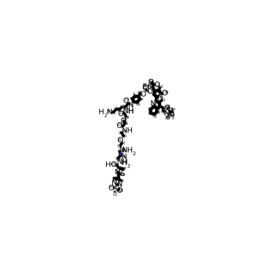 CC[C@@]1(OC(=O)OCc2ccc(NC(=O)[C@H](CCCCN)NC(=O)COCC(=O)NCCOCCN(N)/C=C(\N)CNC(O)c3csc(-c4cnc(S(C)(=O)=O)nc4)n3)cc2)C(=O)OCc2c1cc1n(c2=O)Cc2c-1nc1ccccc1c2CCN(C(C)C)S(C)(=O)=O